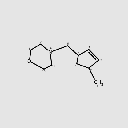 CC1C=CC(CN2CCOCC2)C1